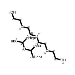 CCCCCCCC(CCCC)OC(CCCC)CCCCCCC.OCCOCCOCCOCCO